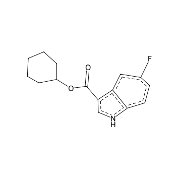 O=C(OC1CCCCC1)c1c[nH]c2ccc(F)cc12